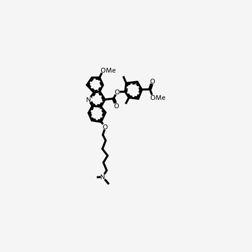 COC(=O)c1cc(C)c(OC(=O)c2c3cc(OC)ccc3nc3ccc(OCCCCCCN(C)C)cc23)c(C)c1